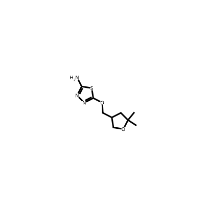 CC1(C)CC(COc2nnc(N)s2)CO1